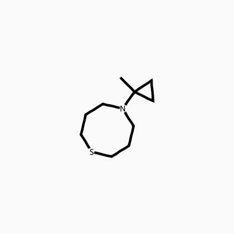 CC1(N2CCCSCCC2)CC1